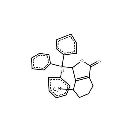 O=C1OC([PH](c2ccccc2)(c2ccccc2)c2ccccc2)C2=C1CCCC2[N+](=O)[O-]